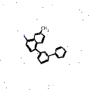 Cc1ccc2c(-c3cccc(-c4ccccc4)c3)ccc(I)c2c1